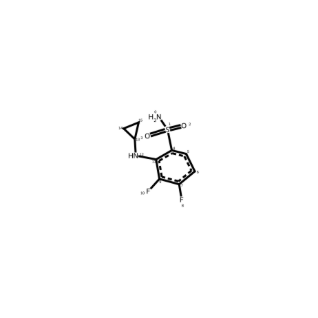 NS(=O)(=O)c1ccc(F)c(F)c1NC1CC1